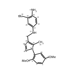 COc1ccc(OC)c(-n2nnc(CNc3ccc(N)c(C(C)(C)C)c3)c2C)c1